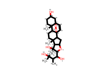 CC(C(O)C1OC2CC3C(C)(CCC4C35C=CC3(CC(O)CCC43C)OO5)C2C1(C)O)C(C)(C)O